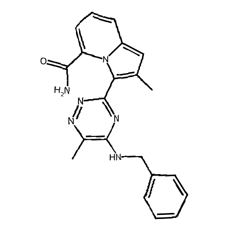 Cc1cc2cccc(C(N)=O)n2c1-c1nnc(C)c(NCc2ccccc2)n1